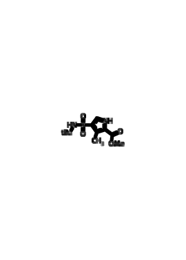 COC(=O)c1[nH]cc(S(=O)(=O)NC(C)(C)C)c1C